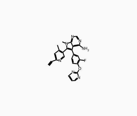 C#Cc1cc(C)c(-c2c(-c3ccc(Oc4ncccn4)c(F)c3)c3c(N)ncnc3n2C)cn1